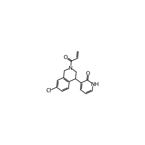 C=CC(=O)N1Cc2cc(Cl)ccc2C(c2ccc[nH]c2=O)C1